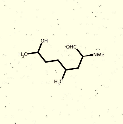 CN[C@H]([C]=O)CC(C)CCC(C)O